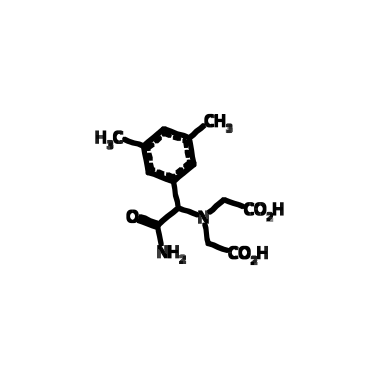 Cc1cc(C)cc(C(C(N)=O)N(CC(=O)O)CC(=O)O)c1